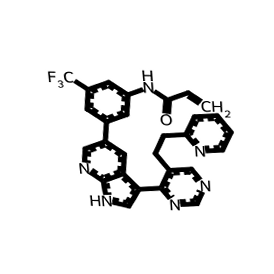 C=CC(=O)Nc1cc(-c2cnc3[nH]cc(-c4ncncc4CCc4ccccn4)c3c2)cc(C(F)(F)F)c1